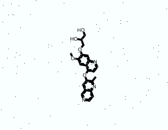 COc1cc2c(Oc3cc4cnccc4nc3C)ccnc2cc1OCC(O)CO